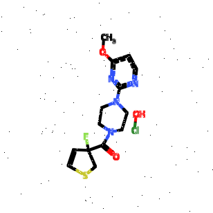 COc1ccnc(N2CCN(C(=O)C3(F)C=CSC3)CC2)n1.OCl